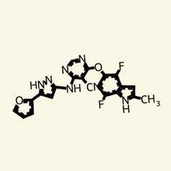 Cc1cc2c(F)c(Oc3ncnc(Nc4cc(-c5ccco5)[nH]n4)c3C#N)cc(F)c2[nH]1